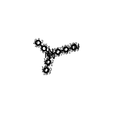 c1ccc(-c2ccc(-c3nc(-c4ccc(-c5ccccc5)cc4)nc(-c4ccc(-c5ccc(-c6ccncc6)cc5)cc4)n3)cc2)cc1